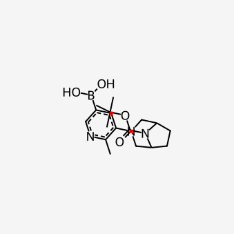 Cc1ncc(B(O)O)cc1N1CC2CCC(C1)N2C(=O)OC(C)(C)C